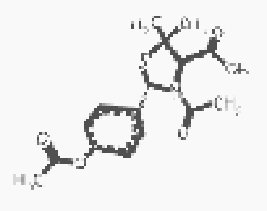 CC(=O)Oc1ccc([C@@H]2SC(C)(C)C(C(=O)O)N2C(C)=O)cc1